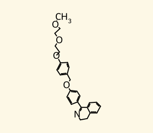 COCCOCCOc1ccc(COc2ccc(C3=NCCc4ccccc43)cc2)cc1